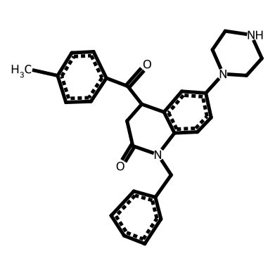 Cc1ccc(C(=O)C2CC(=O)N(Cc3ccccc3)c3ccc(N4CCNCC4)cc32)cc1